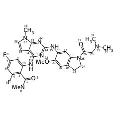 CNC(=O)c1c(F)cc(F)cc1Nc1nc(Nc2cc3c(cc2OC)CCN3C(=O)CN(C)C)nc2c1ccn2C